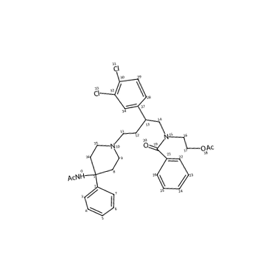 CC(=O)NC1(c2ccccc2)CCN(CCC(CN(CCOC(C)=O)C(=O)c2ccccc2)c2ccc(Cl)c(Cl)c2)CC1